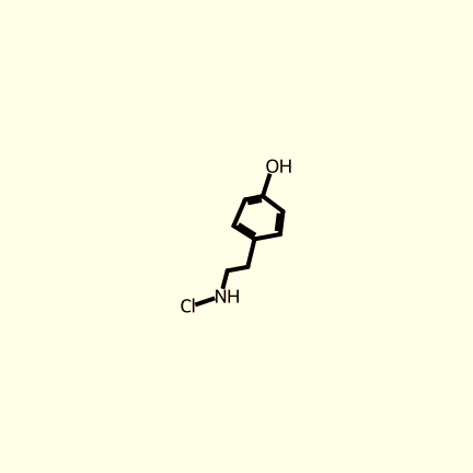 Oc1ccc(CCNCl)cc1